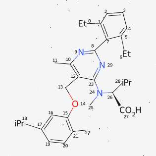 CCc1cccc(CC)c1-c1nc(C)c(COc2cc(C(C)C)ccc2C)c(N(C)[C@H](C(=O)O)C(C)C)n1